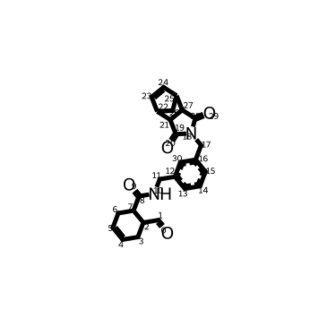 O=CC1CC=CCC1C(=O)NCc1cccc(CN2C(=O)C3C4C=CC(C4)C3C2=O)c1